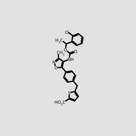 Cc1noc(-c2ccc(Cc3ccc(C(=O)O)s3)cc2)c1NC(=O)OC(C)c1ccccc1Cl